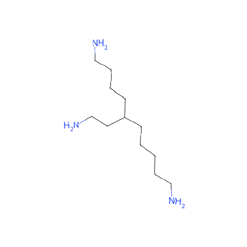 NCCCCCC(CCN)CCCCN